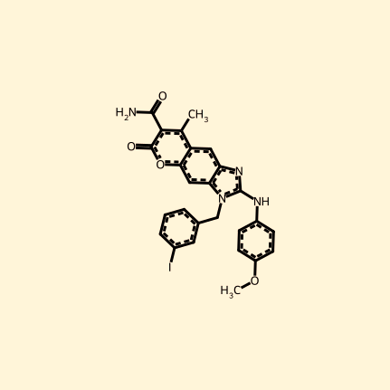 COc1ccc(Nc2nc3cc4c(C)c(C(N)=O)c(=O)oc4cc3n2Cc2cccc(I)c2)cc1